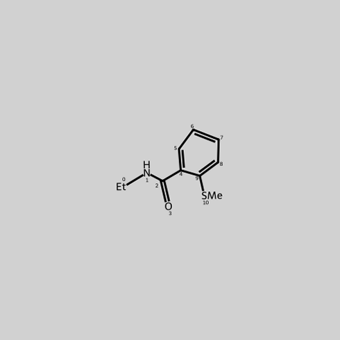 CCNC(=O)c1ccccc1SC